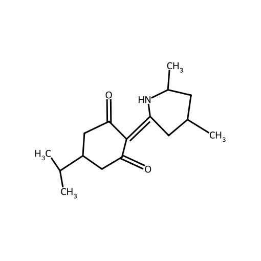 CC1CC(=C2C(=O)CC(C(C)C)CC2=O)NC(C)C1